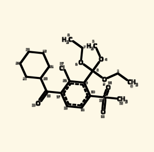 CCOC(OC)(OCC)c1c(S(C)(=O)=O)ccc(C(=O)C2CCCCC2)c1Cl